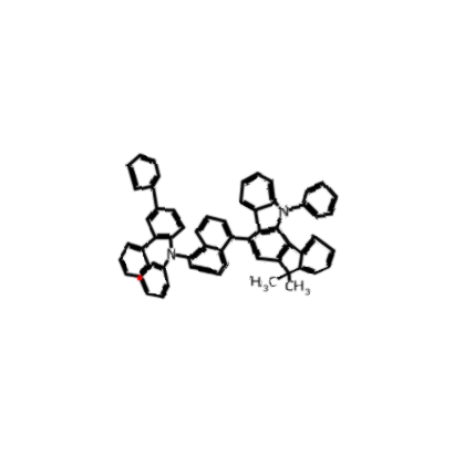 CC1(C)c2ccccc2-c2c1cc(-c1cccc3c(N(c4ccccc4)c4ccc(-c5ccccc5)cc4-c4ccccc4)cccc13)c1c3ccccc3n(-c3ccccc3)c21